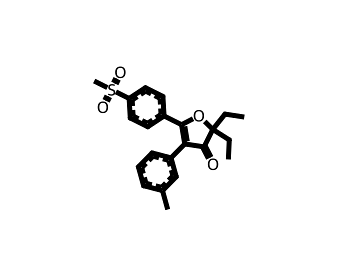 CCC1(CC)OC(c2ccc(S(C)(=O)=O)cc2)=C(c2cccc(C)c2)C1=O